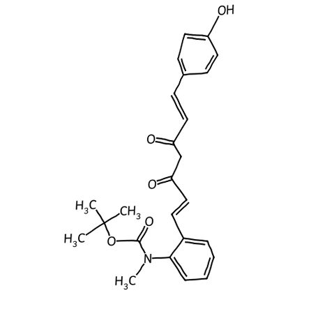 CN(C(=O)OC(C)(C)C)c1ccccc1/C=C/C(=O)CC(=O)/C=C/c1ccc(O)cc1